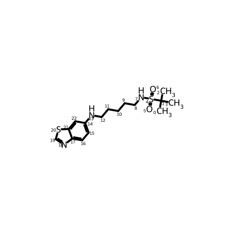 CC(C)(C)S(=O)(=O)NCCCCCNc1ccc2ncsc2c1